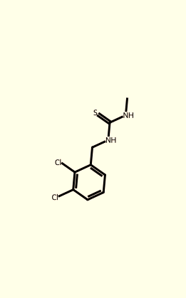 CNC(=S)NCc1cccc(Cl)c1Cl